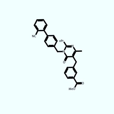 CCCc1nc(C)c(Cc2cccc(C(=O)OC)c2)c(=O)n1Cc1ccc(-c2ccccc2C#N)cc1